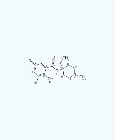 CCC1(OC(=O)c2cc(I)cc(I)c2O)CCN(C)CC1